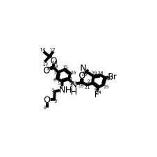 COCCNc1cc(C(=O)OC(C)(C)C)ccc1NC(=O)Cc1c(F)cc(Br)cc1C#N